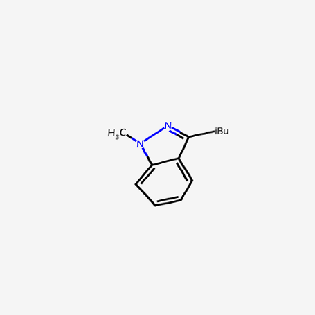 CCC(C)c1nn(C)c2ccccc12